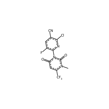 Cn1c(C(F)(F)F)cc(=O)n(-c2nc(Cl)c(C#N)cc2F)c1=O